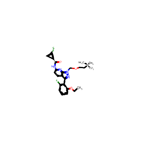 CCOc1cccc(F)c1-c1nn(COCC[Si](C)(C)C)c2nc(NC(=O)[C@@H]3C[C@@H]3F)ccc12